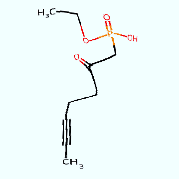 CC#CCCC(=O)CP(=O)(O)OCC